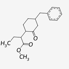 CCC(C(=O)OC)C1CCC(Cc2ccccc2)CC1=O